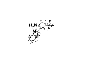 Nc1ccc(C(F)(F)F)cc1-c1nc2ncccc2o1